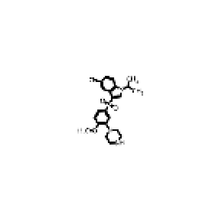 COc1ccc(S(=O)(=O)c2cn(C(C)C)c3ccc(Cl)cc23)cc1N1CCNCC1